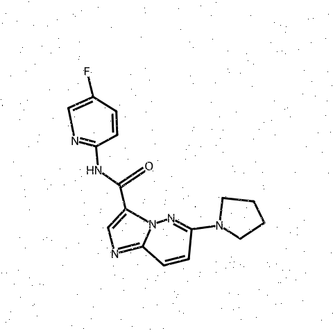 O=C(Nc1ccc(F)cn1)c1cnc2ccc(N3CCCC3)nn12